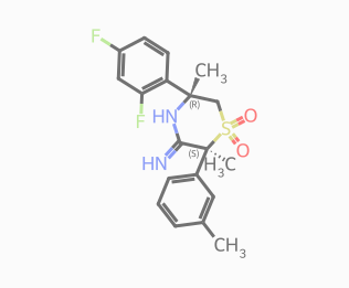 Cc1cccc([C@@]2(C)C(=N)N[C@](C)(c3ccc(F)cc3F)CS2(=O)=O)c1